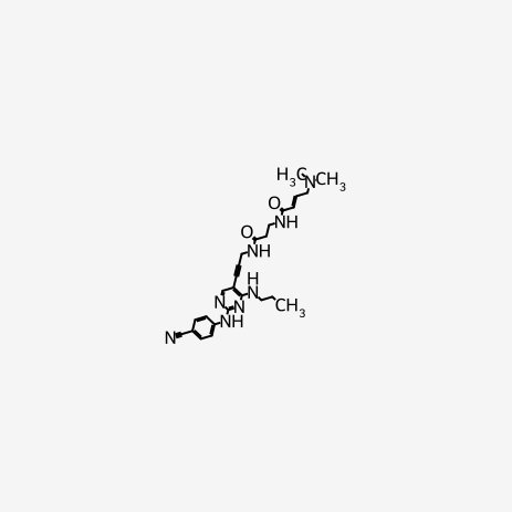 CCCNc1nc(Nc2ccc(C#N)cc2)ncc1C#CCNC(=O)CCNC(=O)/C=C/CN(C)C